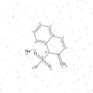 C=C1C=Cc2ccccc2C1S(=O)(=O)[O-].[Na+]